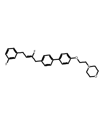 F/C(=C\Cc1cccc(F)c1)Cc1ccc(-c2ccc(OCCN3CCOCC3)cc2)cc1